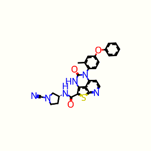 Cc1cc(Oc2ccccc2)ccc1N1C(=O)Nc2c(C(=O)N[C@@H]3CCN(C#N)C3)sc3nccc1c23